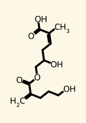 C=C(CCCO)C(=O)OCC(O)CC=C(C)C(=O)O